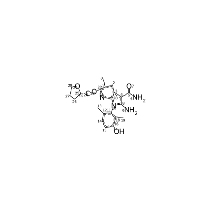 Cc1cc2c(C(N)=O)c(N)n(-c3c(C)ccc(O)c3C)c2nc1OC[C@@H]1CCCO1